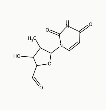 CC1C(O)C(C=O)OC1n1ccc(=O)[nH]c1=O